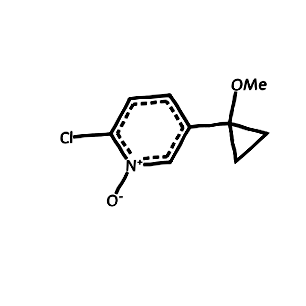 COC1(c2ccc(Cl)[n+]([O-])c2)CC1